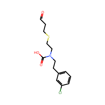 O=CCCSCCN(CCc1cccc(Cl)c1)C(=O)O